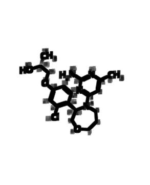 Cc1cc(N2CCCOC[C@H]2c2ccc(OC[C@@H](C)O)cc2Cl)nc(N)n1